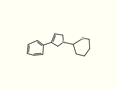 C1=C(c2ccccc2)CN(C2CCCCO2)C1